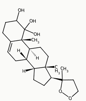 CC1([C@H]2CC[C@@H]3[C@@H]4CC=C5CCC(O)C(O)(O)[C@]5(C)[C@H]4CC[C@@]32C)CCOO1